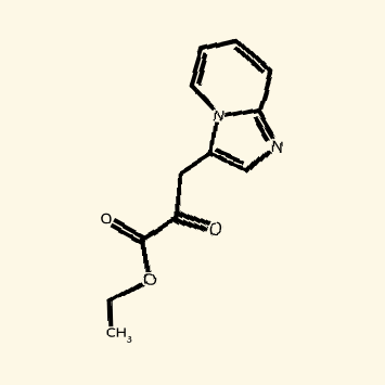 CCOC(=O)C(=O)Cc1cnc2ccccn12